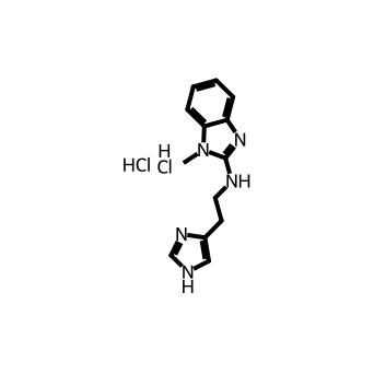 Cl.Cl.Cn1c(NCCc2c[nH]cn2)nc2ccccc21